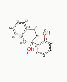 Oc1ccccc1C1(O)CCc2ccccc2O1